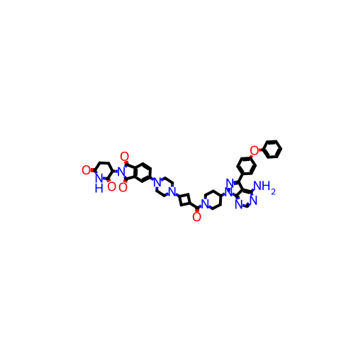 Nc1ncnc2c1c(-c1ccc(Oc3ccccc3)cc1)nn2C1CCN(C(=O)C2CC(N3CCN(c4ccc5c(c4)C(=O)N(C4CCC(=O)NC4=O)C5=O)CC3)C2)CC1